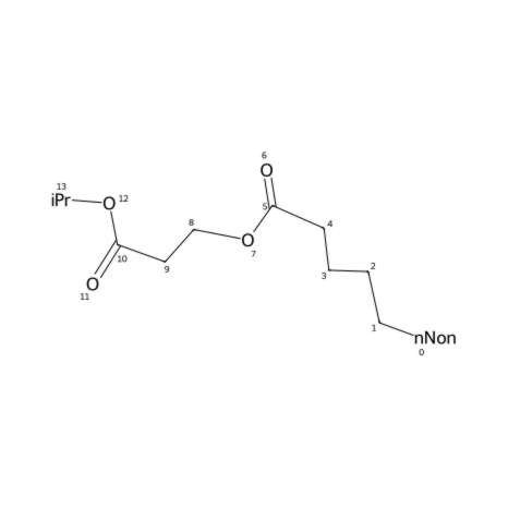 CCCCCCCCCCCCCC(=O)OCCC(=O)OC(C)C